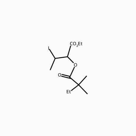 CCOC(=O)C(OC(=O)C(C)(C)CC)C(C)I